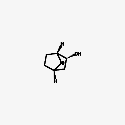 O[C@@H]1C[C@@H]2CC[C@H]1N2